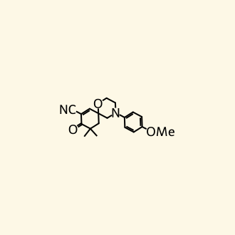 COc1ccc(N2CCOC3(C=C(C#N)C(=O)C(C)(C)C3)C2)cc1